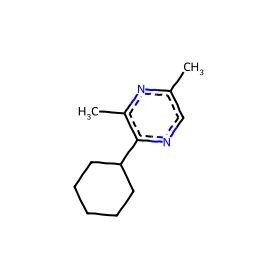 Cc1cnc(C2CCCCC2)c(C)n1